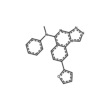 CN(c1ccccc1)c1nc2nncn2c2cc(-c3ccco3)ccc12